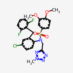 COc1ccc(S(=O)(=O)N(Cc2nnn(C)n2)c2ccc(Cl)cc2Cc2c(F)cccc2F)cc1OC